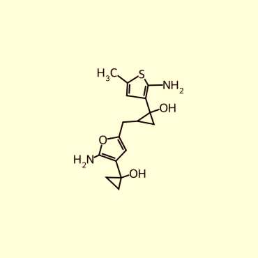 Cc1cc(C2(O)CC2Cc2cc(C3(O)CC3)c(N)o2)c(N)s1